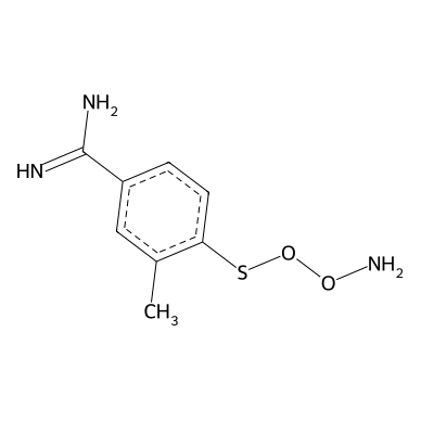 Cc1cc(C(=N)N)ccc1SOON